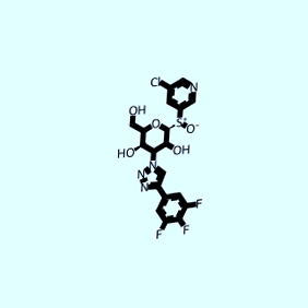 [O-][S+](c1cncc(Cl)c1)[C@H]1OC(CO)[C@H](O)C(n2cc(-c3cc(F)c(F)c(F)c3)nn2)C1O